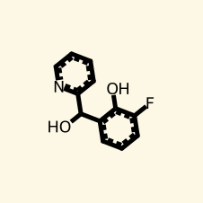 Oc1c(F)cccc1C(O)c1ccccn1